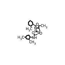 Cc1ccc(NC(=O)CS(=O)(=O)Cc2nc(-c3ccccc3C)oc2C)c(C)c1